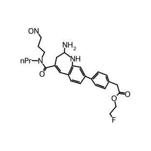 CCCN(CCCN=O)C(=O)C1=Cc2ccc(-c3ccc(CC(=O)OCCF)cc3)cc2NC(N)C1